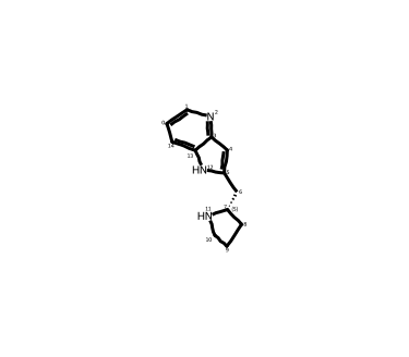 c1cnc2cc(C[C@@H]3CCCN3)[nH]c2c1